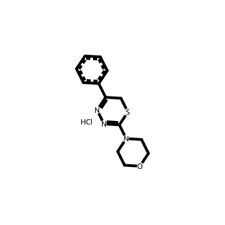 Cl.c1ccc(C2=NN=C(N3CCOCC3)SC2)cc1